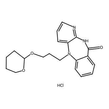 Cl.O=C1Nc2ncccc2N(CCCOC2CCCCO2)c2ccccc21